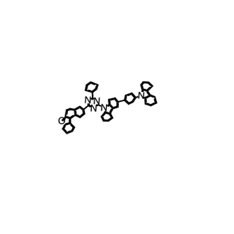 c1ccc(-c2nc(-c3ccc4c(ccc5oc6ccccc6c54)c3)nc(-n3c4ccccc4c4cc(-c5ccc(-n6c7ccccc7c7ccccc76)cc5)ccc43)n2)cc1